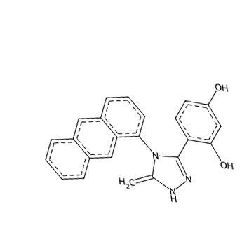 C=C1NN=C(c2ccc(O)cc2O)N1c1cccc2cc3ccccc3cc12